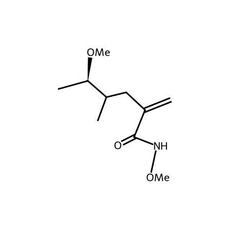 C=C(CC(C)[C@@H](C)OC)C(=O)NOC